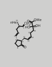 C=C[C@@H](C/C=C/[C@H]1CCC(=O)[C@@H]1C/C=C\CCC(O)(O)C(=O)OC)CCCCCC